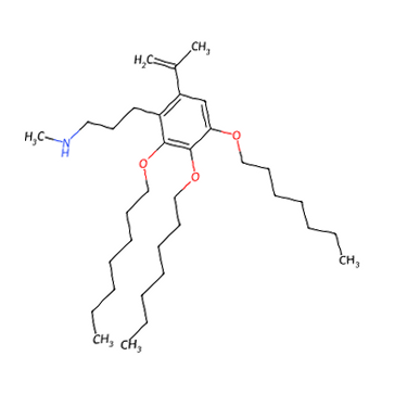 C=C(C)c1cc(OCCCCCCC)c(OCCCCCCC)c(OCCCCCCC)c1CCCNC